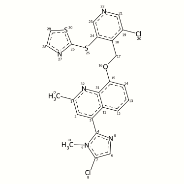 Cc1cc(-c2ncc(Cl)n2C)c2cccc(OCc3c(Cl)cncc3Sc3nccs3)c2n1